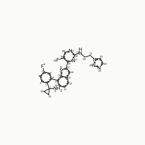 NC1(c2ccc(F)cc2-c2cccc3cc(-c4nc(NCCn5ccnn5)ncc4F)sc23)CC1